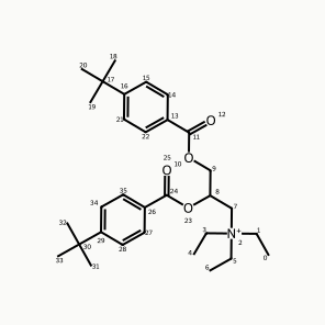 CC[N+](CC)(CC)CC(COC(=O)c1ccc(C(C)(C)C)cc1)OC(=O)c1ccc(C(C)(C)C)cc1